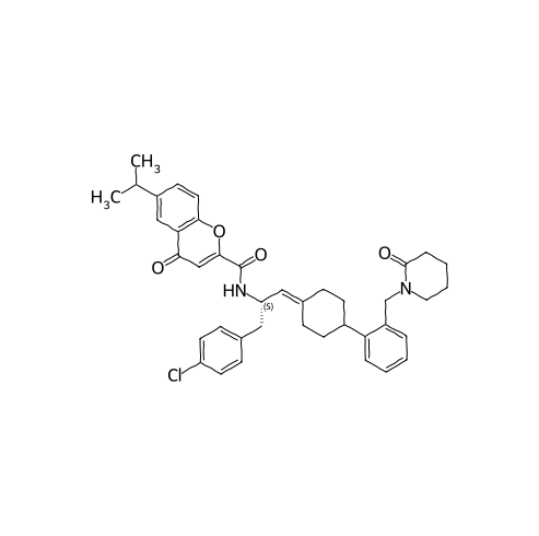 CC(C)c1ccc2oc(C(=O)N[C@H](C=C3CCC(c4ccccc4CN4CCCCC4=O)CC3)Cc3ccc(Cl)cc3)cc(=O)c2c1